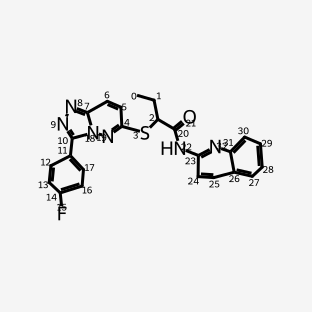 CCC(Sc1ccc2nnc(-c3ccc(F)cc3)n2n1)C(=O)Nc1ccc2ccccc2n1